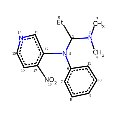 CCC(N(C)C)N(c1ccccc1)c1cnccc1[N+](=O)[O-]